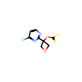 S=C(S)OC1(c2nccc(Cl)n2)COC1